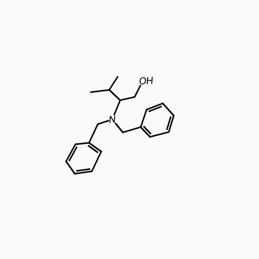 CC(C)C(CO)N(Cc1ccccc1)Cc1ccccc1